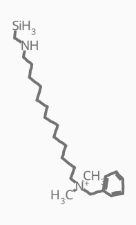 C[N+](C)(CCCCCCCCCCCCCNC[SiH3])Cc1ccccc1